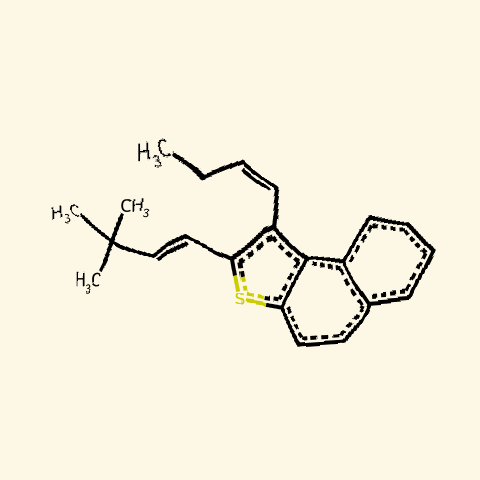 CC/C=C\c1c(/C=C/C(C)(C)C)sc2ccc3ccccc3c12